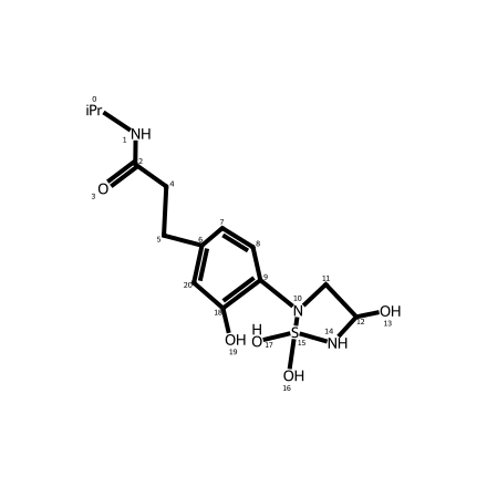 CC(C)NC(=O)CCc1ccc(N2CC(O)NS2(O)O)c(O)c1